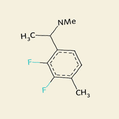 CNC(C)c1ccc(C)c(F)c1F